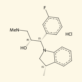 CNC[C@@H](O)[C@H](c1cccc(F)c1)N1C[C@@H](C)c2ccccc21.Cl